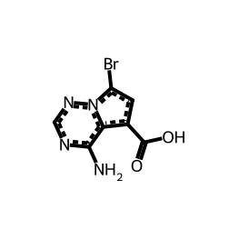 Nc1ncnn2c(Br)cc(C(=O)O)c12